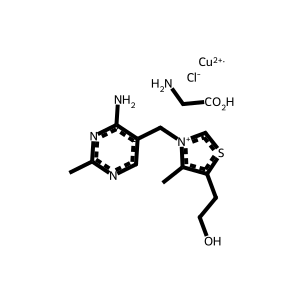 Cc1ncc(C[n+]2csc(CCO)c2C)c(N)n1.NCC(=O)O.[Cl-].[Cu+2]